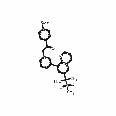 CSc1ccc(C(=O)Cc2cccc(-c3cc(C(C)(C)S(C)(=O)=O)cc4cccnc34)c2)cc1